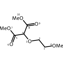 COCCOC(C(=O)OC)C(=O)OC